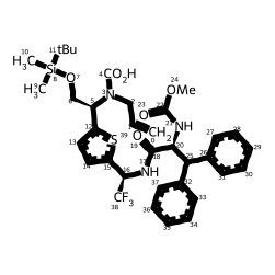 C=CCN(C(=O)O)[C@H](CO[Si](C)(C)C(C)(C)C)c1ccc([C@@H](NC(=O)[C@@H](NC(=O)OC)C(c2ccccc2)c2ccccc2)C(F)(F)F)s1